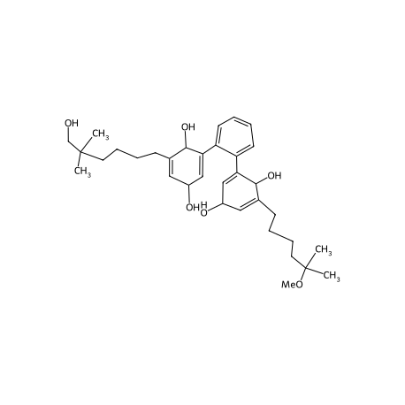 COC(C)(C)CCCCC1=CC(O)C=C(c2ccccc2C2=CC(O)C=C(CCCCC(C)(C)CO)C2O)C1O